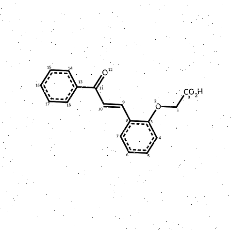 O=C(O)COc1ccccc1C=CC(=O)c1ccccc1